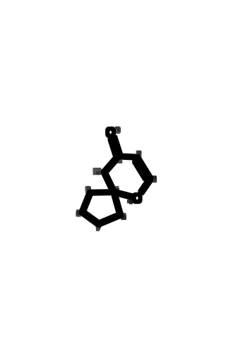 O=C1C=COC2(CCCC2)C1